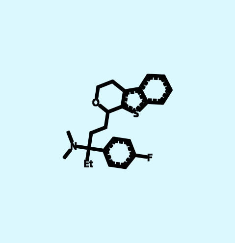 CCC(CCC1OCCc2c1sc1ccccc21)(c1ccc(F)cc1)N(C)C